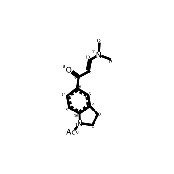 CC(=O)N1CCc2cc(C(=O)/C=C/N(C)C)ccc21